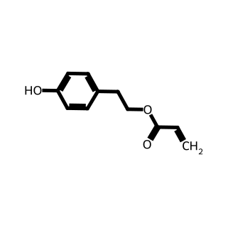 C=CC(=O)OCCc1ccc(O)cc1